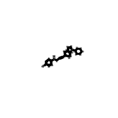 Fc1ccc(NCC#Cc2cnc3c(ccn3C3CCCCC3)c2)cc1